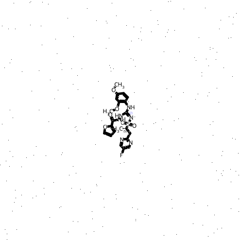 COc1ccc(N/C(=N/S(=O)(=O)[C@@H](C)Cc2ncc(F)cn2)NNC(=O)c2ccco2)c(OC)c1